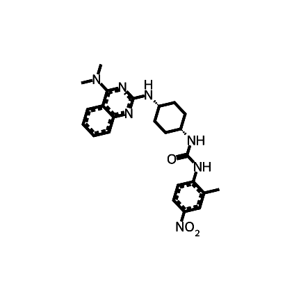 Cc1cc([N+](=O)[O-])ccc1NC(=O)N[C@H]1CC[C@@H](Nc2nc(N(C)C)c3ccccc3n2)CC1